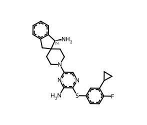 Nc1nc(N2CCC3(CC2)Cc2ccccc2[C@H]3N)cnc1Sc1ccc(F)c(C2CC2)c1